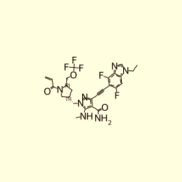 C=CC(=O)N1C[C@@H](Cn2nc(C#Cc3c(F)cc4c(ncn4CC)c3F)c(C(N)=O)c2NC)C[C@@H]1COC(F)(F)F